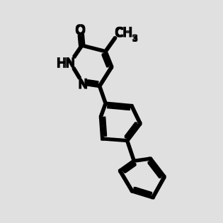 Cc1cc(-c2ccc(-c3ccccc3)cc2)n[nH]c1=O